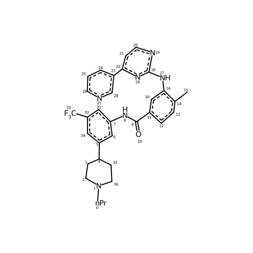 CCCN1CCC(c2cc(NC(=O)c3ccc(C)c(Nc4nccc(-c5cccnc5)n4)c3)cc(C(F)(F)F)c2)CC1